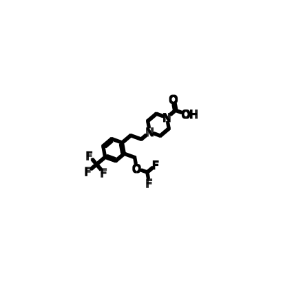 O=C(O)N1CCN(CCc2ccc(C(F)(F)F)cc2COC(F)F)CC1